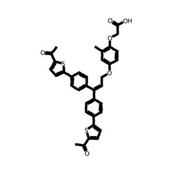 CC(=O)c1ccc(-c2ccc(C(=CCOc3ccc(OCC(=O)O)c(C)c3)c3ccc(-c4ccc(C(C)=O)s4)cc3)cc2)s1